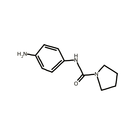 Nc1ccc(NC(=O)N2CCCC2)cc1